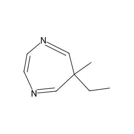 CCC1(C)C=NC=CN=C1